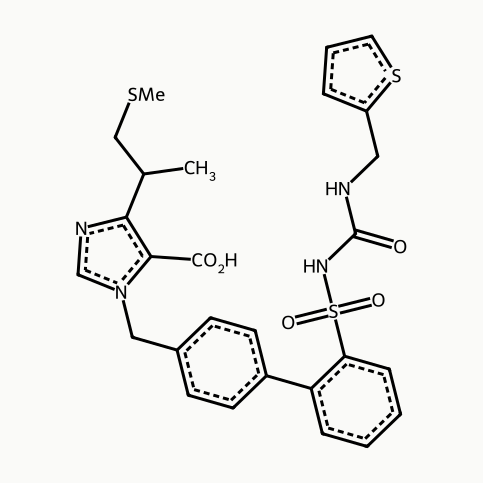 CSCC(C)c1ncn(Cc2ccc(-c3ccccc3S(=O)(=O)NC(=O)NCc3cccs3)cc2)c1C(=O)O